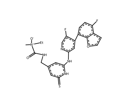 CC[N+](C)([O-])C(=O)NCc1cc(Nc2cc(-c3ccc(F)c4ccoc34)c(F)cn2)[nH]c(=S)c1